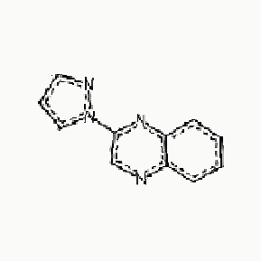 [c]1ccn(-c2cnc3ccccc3n2)n1